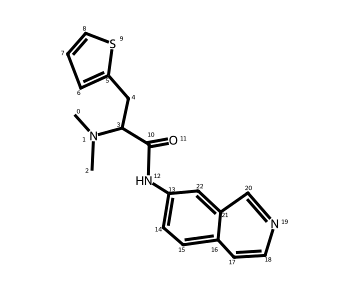 CN(C)C(Cc1cccs1)C(=O)Nc1ccc2ccncc2c1